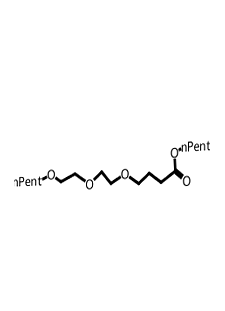 CCCCCOCCOCCOCCCC(=O)OCCCCC